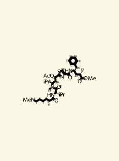 CNCCCC[C@@H](C)C(=O)N[C@H](C(=O)N(C)[C@H](C[C@@H](OC(C)=O)c1nc(C(=O)N[C@@H](Cc2ccccc2)C[C@H](C)C(=O)OC)cs1)C(C)C)C(C)C